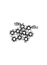 CC(C)(C)c1ccc(N2c3ccc(C(C)(C)C)cc3B3c4ccc(-c5ccccc5)cc4N(c4cccc(-c5ccccc5)c4)c4cc(N(c5ccccc5)c5ccccc5)cc2c43)cc1